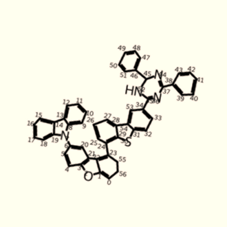 C1=c2oc3ccc(-n4c5ccccc5c5ccccc54)cc3c2=C(c2cccc3c2sc2ccc(C4=NC(c5ccccc5)=NC(c5ccccc5)N4)cc23)CC1